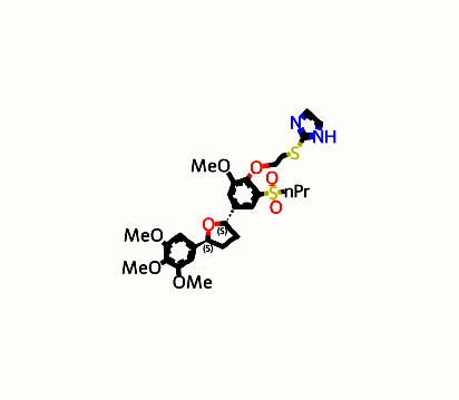 CCCS(=O)(=O)c1cc([C@@H]2CC[C@@H](c3cc(OC)c(OC)c(OC)c3)O2)cc(OC)c1OCCSc1ncc[nH]1